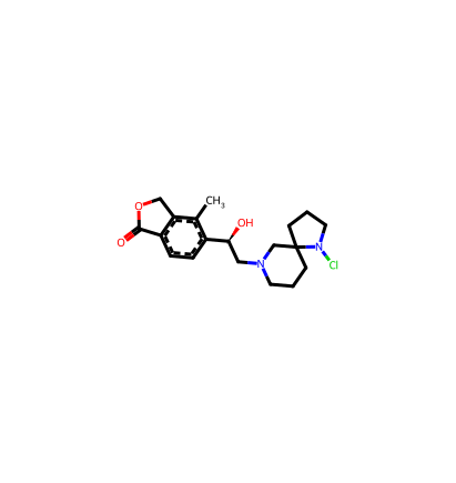 Cc1c([C@@H](O)CN2CCCC3(CCCN3Cl)C2)ccc2c1COC2=O